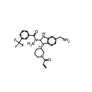 C=CC(=O)N1CCC[C@@H](N2c3ccc(CN)cc3NC2N(N)C(=O)c2cccc(C(F)(F)F)c2)C1